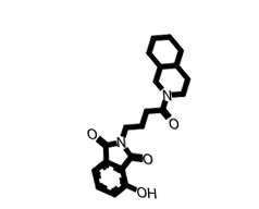 O=C(CCCN1C(=O)c2cccc(O)c2C1=O)N1CCC2CCCCC2C1